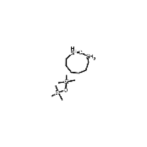 C1CCC[SiH2]O[SiH2]CC1.C[Si](C)(C)O[Si](C)(C)C